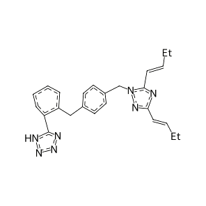 CC/C=C/c1nc(/C=C/CC)n(Cc2ccc(Cc3ccccc3-c3nnn[nH]3)cc2)n1